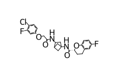 O=C(COc1ccc(Cl)c(F)c1)NC1CC2(NC(=O)[C@H]3CCc4cc(F)ccc4O3)CC1C2